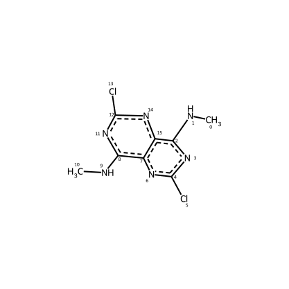 CNc1nc(Cl)nc2c(NC)nc(Cl)nc12